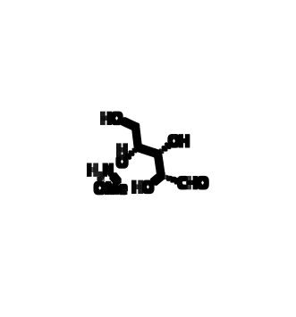 CON.O=C[C@H](O)[C@@H](O)[C@H](O)CO